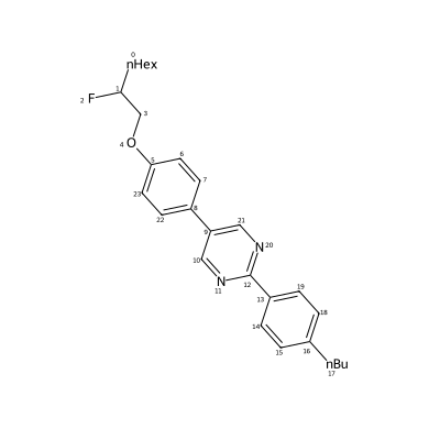 CCCCCCC(F)COc1ccc(-c2cnc(-c3ccc(CCCC)cc3)nc2)cc1